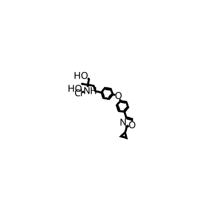 OCC(CO)(CCc1ccc(Oc2ccc(-c3coc(C4CC4)n3)cc2)cc1)NCl